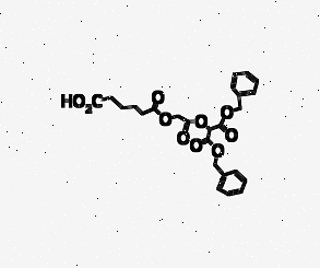 O=C(O)CCCCC(=O)OCC(=O)OC(C(=O)OCc1ccccc1)C(=O)OCc1ccccc1